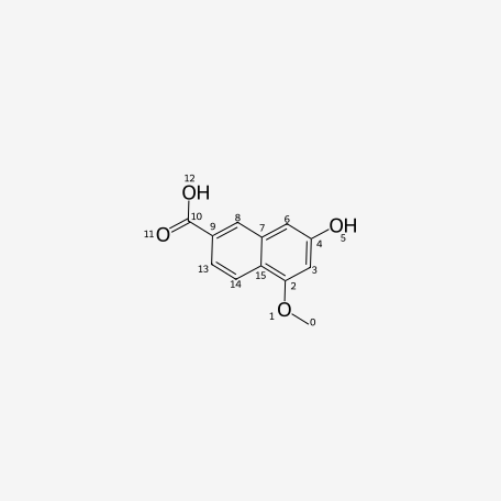 COc1cc(O)cc2cc(C(=O)O)ccc12